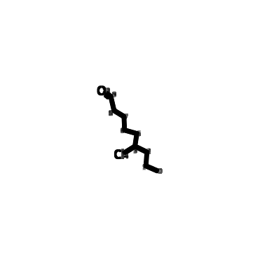 CCCC(Cl)CCCCC=O